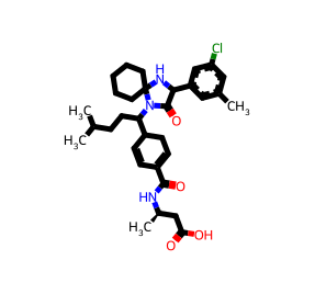 Cc1cc(Cl)cc(C2NC3(CCCCC3)N(C(CCC(C)C)C3C=CC(C(=O)N[C@H](C)CC(=O)O)=CC3)C2=O)c1